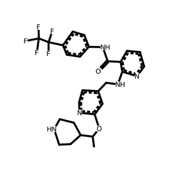 CC(Oc1cc(CNc2ncccc2C(=O)Nc2ccc(C(F)(F)C(F)(F)F)cc2)ccn1)C1CCNCC1